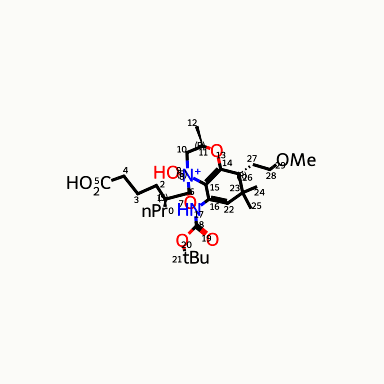 CCC[C@@H](CCCC(=O)O)C(=O)[N@+]1(O)C[C@@H](C)OC2=C1C(NC(=O)OC(C)(C)C)=CC(C)(C)[C@H]2CCOC